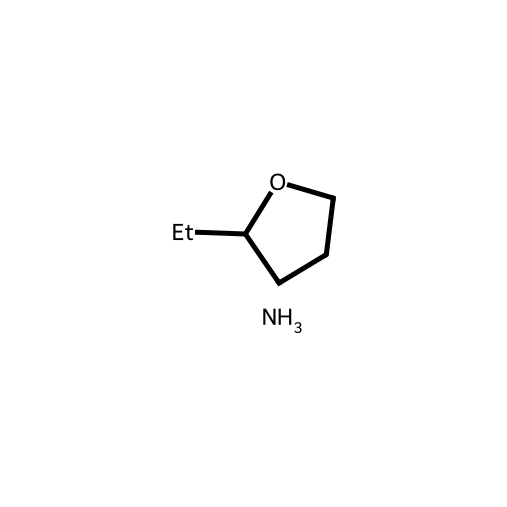 CCC1CCCO1.N